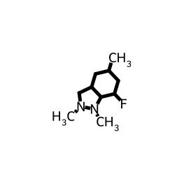 CC1CC(F)C2C(C1)CN(C)N2C